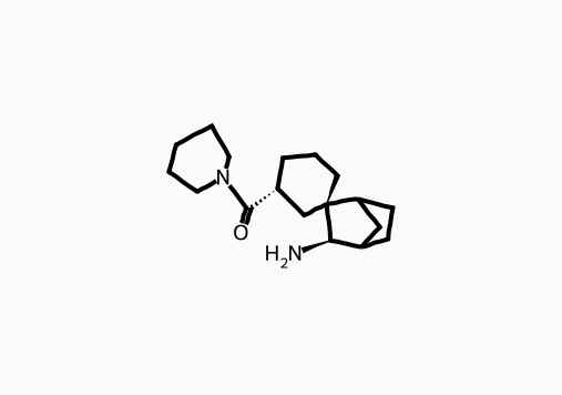 N[C@@H]1C2CCC(C2)[C@]12CCC[C@@H](C(=O)N1CCCCC1)C2